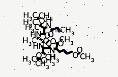 C/C=C/C(=O)NC(C(=O)NC(C)C(=O)NC(C(=O)NC(C/C=C/COC(C)=O)C(=O)OC)C(C)OC(C)(C)C)C(C)OC(C)(C)C